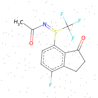 CC(=O)/N=S(\c1ccc(F)c2c1C(=O)CC2)C(F)(F)F